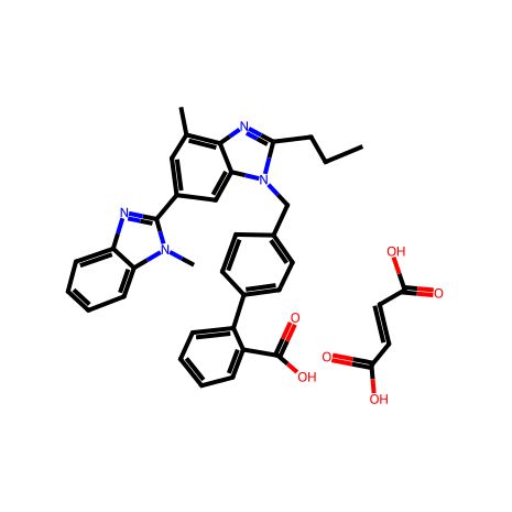 CCCc1nc2c(C)cc(-c3nc4ccccc4n3C)cc2n1Cc1ccc(-c2ccccc2C(=O)O)cc1.O=C(O)C=CC(=O)O